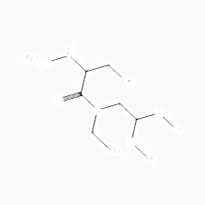 CCOC(=O)NC(CO)C(=O)N(CC(C)CC)CC(OCC)OCC